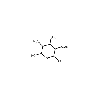 COC1C(C(=O)O)OC(O)C(C)C1C